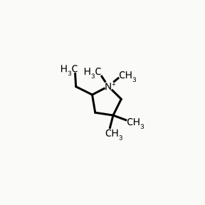 CCC1CC(C)(C)C[N+]1(C)C